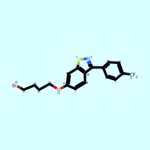 FC(F)(F)c1ccc(-c2nsc3cc(OCCCCBr)ccc23)cc1